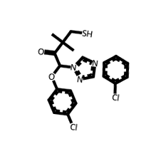 CC(C)(CS)C(=O)C(Oc1ccc(Cl)cc1)n1cncn1.Clc1ccccc1